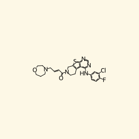 O=C(/C=C/CN1CCCOCC1)N1CCc2c(sc3ncnc(Nc4ccc(F)c(Cl)c4)c23)C1